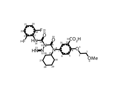 COCCOc1ccc(N(C(=O)N(N=N)C(=O)Nc2c(F)cccc2F)C2CCCCC2)cc1C(=O)O